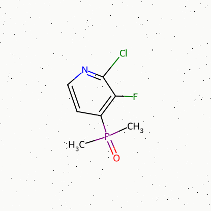 CP(C)(=O)c1ccnc(Cl)c1F